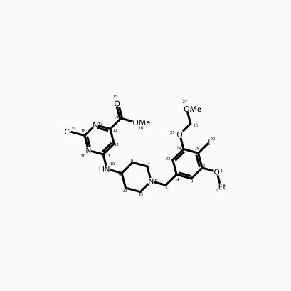 CCOc1cc(CN2CCC(Nc3cc(C(=O)OC)nc(Cl)n3)CC2)cc(OCOC)c1I